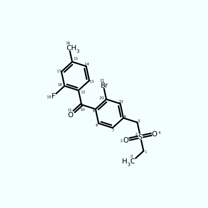 CCS(=O)(=O)Cc1ccc(C(=O)c2ccc(C)cc2F)c(Br)c1